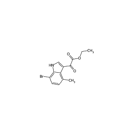 CCOC(=O)C(=O)c1c[nH]c2c(Br)ccc(C)c12